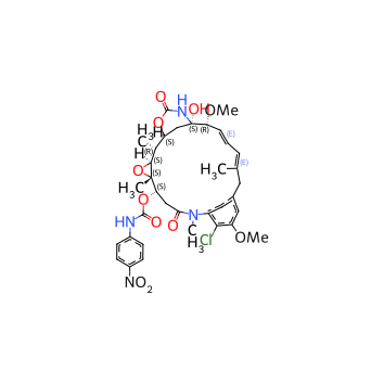 COc1cc2cc(c1Cl)N(C)C(=O)C[C@H](OC(=O)Nc1ccc([N+](=O)[O-])cc1)[C@]1(C)O[C@H]1[C@H](C)[C@@H]1C[C@@](O)(NC(=O)O1)[C@H](OC)/C=C/C=C(\C)C2